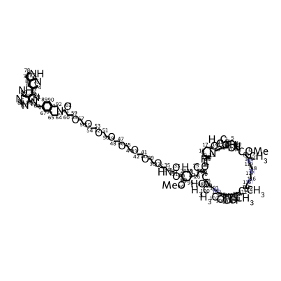 CO[C@H]1C[C@@H]2CC[C@@H](C)[C@@](O)(O2)C(=O)C(=O)N2CCCC[C@H]2CO[C@H]([C@H](C)C[C@@H]2CC[C@@H](OC(=O)NCCOCCOCCOCCOCCOCCOCCOCCOCCC(=O)N3CCc4cc(Cn5nc(-c6cnc7[nH]ccc7c6)c6c(N)ncnc65)ccc4C3)[C@H](OC)C2)C[C@@H](O)[C@H](C)/C=C(\C)[C@@H](O)[C@@H](O)C(=O)[C@H](C)C[C@H](C)/C=C/C=C/C=C/1C